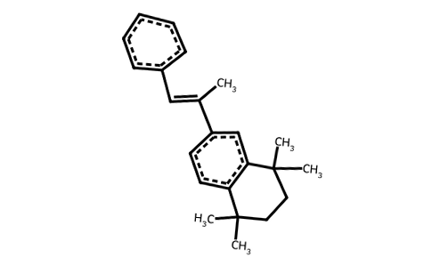 CC(=Cc1ccccc1)c1ccc2c(c1)C(C)(C)CCC2(C)C